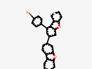 Brc1ccc(-c2cc(-c3ccc4c(c3)oc3ccccc34)cc3oc4ccccc4c23)cc1